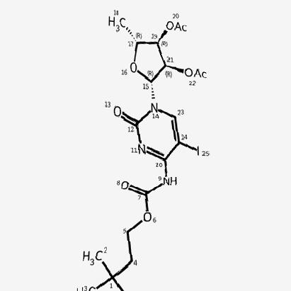 COC(C)(C)CCOC(=O)Nc1nc(=O)n([C@@H]2O[C@H](C)[C@@H](OC(C)=O)[C@H]2OC(C)=O)cc1I